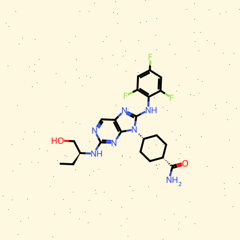 CC[C@@H](CO)Nc1ncc2nc(Nc3c(F)cc(F)cc3F)n([C@H]3CC[C@@H](C(N)=O)CC3)c2n1